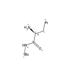 CC(C)C[C@H](N)C(=O)NC(C)(C)C